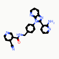 N#Cc1ccncc1C(=O)NCc1ccc(-n2c(-c3cccnc3N)nc3cccnc32)cc1